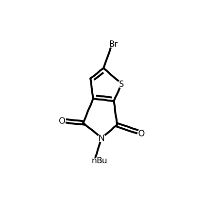 CCCCN1C(=O)c2cc(Br)sc2C1=O